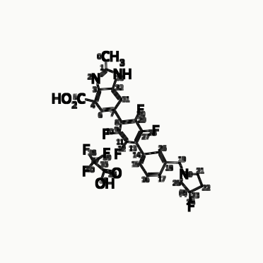 Cc1nc2c(C(=O)O)cc(-c3c(F)c(F)c(-c4cccc(CN5CC[C@@H](F)C5)c4)c(F)c3F)cc2[nH]1.O=C(O)C(F)(F)F